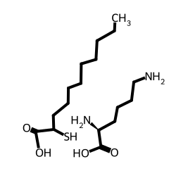 CCCCCCCCCC(S)C(=O)O.NCCCC[C@H](N)C(=O)O